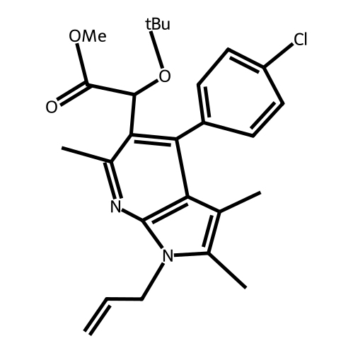 C=CCn1c(C)c(C)c2c(-c3ccc(Cl)cc3)c(C(OC(C)(C)C)C(=O)OC)c(C)nc21